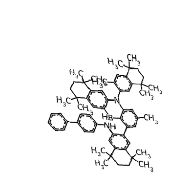 Cc1cc(-c2cc3c(cc2Nc2ccc(-c4ccccc4)cc2)C(C)(C)CCC3(C)C)c2c(c1)N(c1cc3c(cc1C)C(C)(C)CCC3(C)C)c1cc3c(cc1B2)C(C)(C)CCC3(C)C